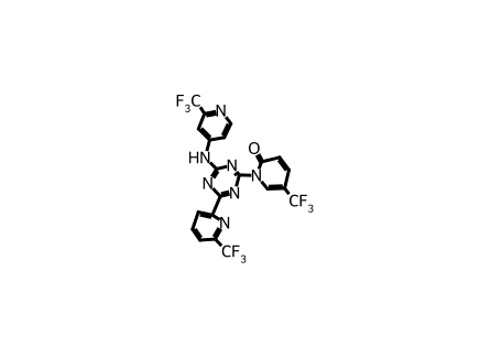 O=c1ccc(C(F)(F)F)cn1-c1nc(Nc2ccnc(C(F)(F)F)c2)nc(-c2cccc(C(F)(F)F)n2)n1